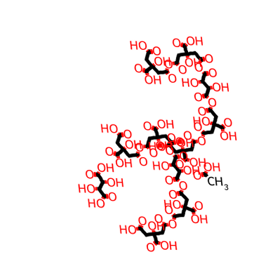 CC(=O)O.O=C(O)C(O)C(O)C(=O)O.O=C(O)CC(O)(CC(=O)OC(=O)CC(O)(CC(=O)OC(=O)C(O)C(O)C(=O)OC(=O)CC(O)(CC(=O)OC(=O)CC(O)(CC(=O)O)C(=O)O)C(=O)O)C(=O)O)C(=O)O.O=C(O)CC(O)(CC(=O)OC(=O)CC(O)(CC(=O)OC(=O)C(O)C(O)C(=O)OC(=O)CC(O)(CC(=O)OC(=O)CC(O)(CC(=O)O)C(=O)O)C(=O)O)C(=O)O)C(=O)O